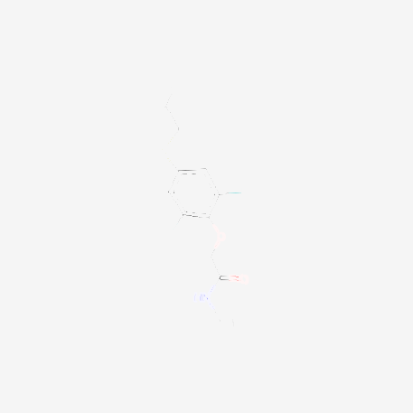 CCCSc1cc(F)c(OCC(=O)NC)c(F)c1